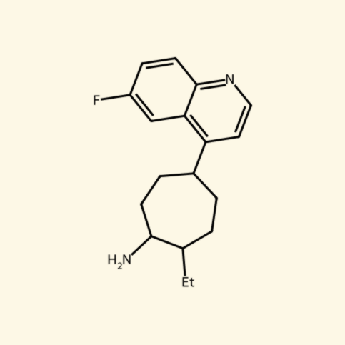 CCC1CCC(c2ccnc3ccc(F)cc23)CCC1N